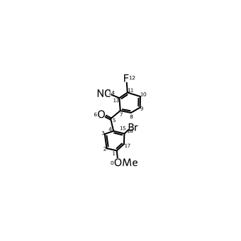 COc1ccc(C(=O)c2cccc(F)c2C#N)c(Br)c1